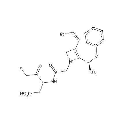 CC/C=C\C1=C([C@H](C)Oc2ccccc2)N(CC(=O)NC(CC(=O)O)C(=O)CF)C1